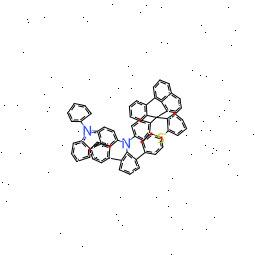 c1ccc(-c2cccc(-c3ccccc3)c2N(c2ccc3c(c2)Sc2ccccc2C32c3ccccc3-c3cccc4cccc2c34)c2ccc3c(c2)c2ccccc2n3-c2ccccc2)cc1